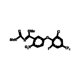 CNC(=O)N=C(OC)c1cc(Oc2c(F)cc(C(F)(F)F)cc2Cl)ccc1[N+](=O)[O-]